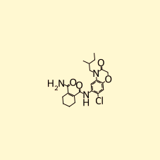 CCC(C)CN1C(=O)COc2cc(Cl)c(NC(=O)C3=C(C(N)=O)CCCC3)cc21